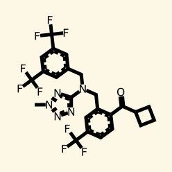 Cn1nnc(N(Cc2cc(C(F)(F)F)cc(C(F)(F)F)c2)Cc2cc(C(F)(F)F)ccc2C(=O)C2CCC2)n1